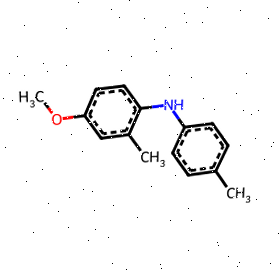 COc1ccc(Nc2ccc(C)cc2)c(C)c1